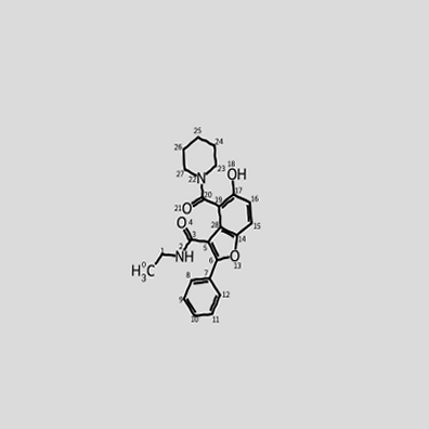 CCNC(=O)c1c(-c2ccccc2)oc2ccc(O)c(C(=O)N3CCCCC3)c12